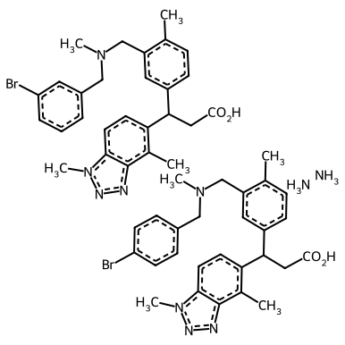 Cc1ccc(C(CC(=O)O)c2ccc3c(nnn3C)c2C)cc1CN(C)Cc1ccc(Br)cc1.Cc1ccc(C(CC(=O)O)c2ccc3c(nnn3C)c2C)cc1CN(C)Cc1cccc(Br)c1.N.N